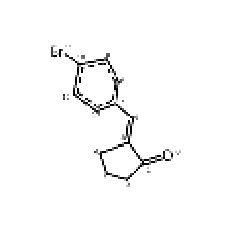 O=C1CCC/C1=C\c1ccc(Br)cc1